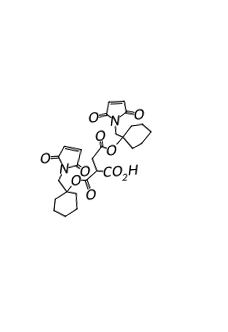 O=C(CC(C(=O)O)C(=O)OC1(CN2C(=O)C=CC2=O)CCCCC1)OC1(CN2C(=O)C=CC2=O)CCCCC1